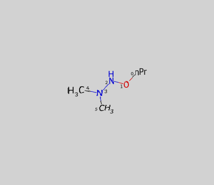 CCCONN(C)C